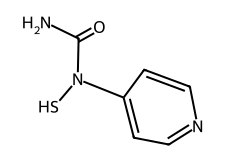 NC(=O)N(S)c1ccncc1